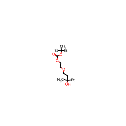 CCC(C)(O)CCOCCOC(=O)OC(C)(CC)CC